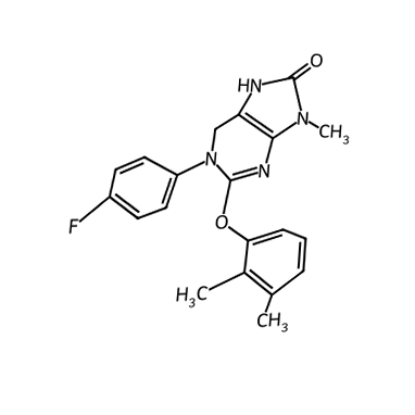 Cc1cccc(OC2=Nc3c([nH]c(=O)n3C)CN2c2ccc(F)cc2)c1C